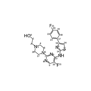 OCCN1CCN(c2ncc(F)c(Nc3nc(-c4ccc(F)cc4)cs3)n2)CC1